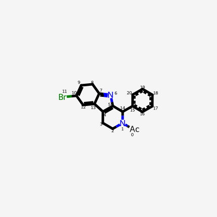 CC(=O)N1CCC2=C(N=C3CC=C(Br)C=C32)C1c1ccccc1